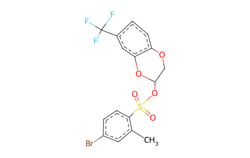 Cc1cc(Br)ccc1S(=O)(=O)OC1COc2ccc(C(F)(F)F)cc2O1